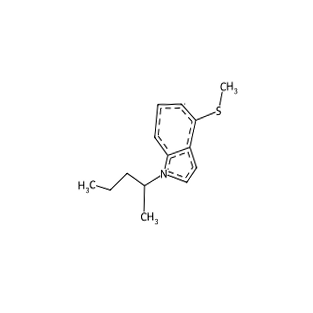 CCCC(C)n1ccc2c(SC)[c]ccc21